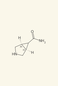 NC(=O)C1[C@H]2CNC[C@@H]12